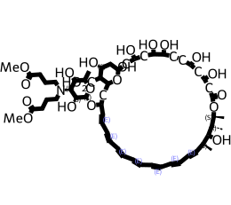 COC(=O)CCCN(CCCC(=O)OC)[C@H]1C(O)C(C)O[C@@H](OC2/C=C/C=C/C=C/C=C/C=C/C=C/C=C/[C@H](C)C(O)[C@@H](C)[C@H](C)OC(=O)CC(O)CC(O)CCC(O)C(O)CC(O)CC3(O)C[C@H](O)C(C(=O)O)C(C2)O3)[C@H]1O